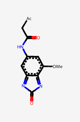 COc1cc(NC(=O)CC(C)=O)cc2c1=NC(=O)N=2